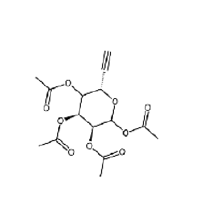 C#C[C@@H]1OC(OC(C)=O)[C@@H](OC(C)=O)[C@@H](OC(C)=O)C1OC(C)=O